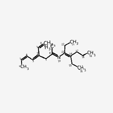 C=C/C(=C\C=C/C)C/C(C)=N/C(CC)=C(\CC)CCC